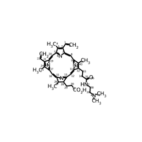 C=CC1=C(C)C2=NC1=CC1=NC(=CC3=NC(=CC4=NC(=C2)C(C=C)=C4C)C(C)C3CCC(=O)O)C(CCC(=O)NCCN(C)C)=C1C